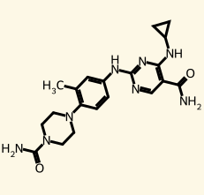 Cc1cc(Nc2ncc(C(N)=O)c(NC3CC3)n2)ccc1N1CCN(C(N)=O)CC1